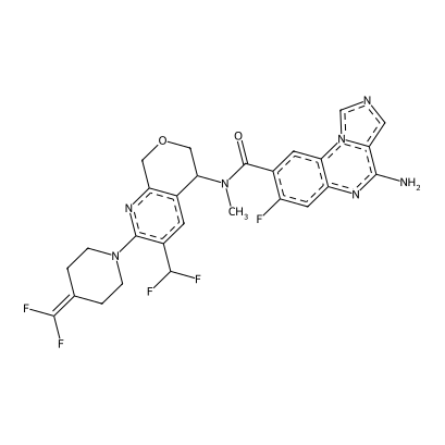 CN(C(=O)c1cc2c(cc1F)nc(N)c1cncn12)C1COCc2nc(N3CCC(=C(F)F)CC3)c(C(F)F)cc21